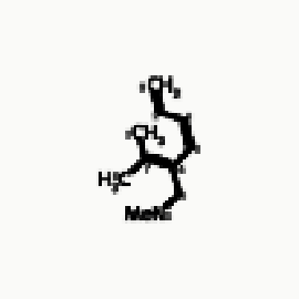 C=C/C=C\C(CNC)=C(C)C